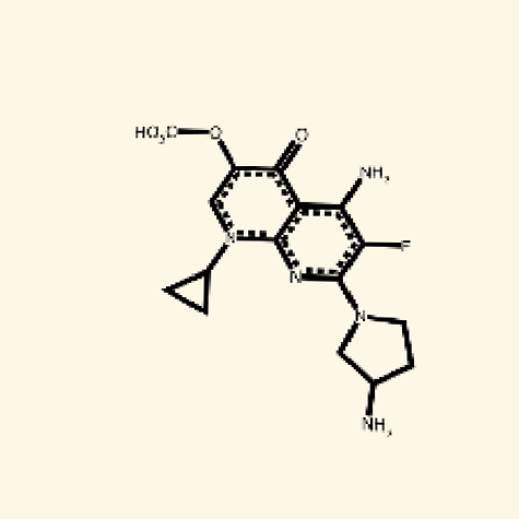 Nc1c(F)c(N2CCC(N)C2)nc2c1c(=O)c(OC(=O)O)cn2C1CC1